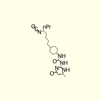 CCCC(CCCCC1CCC(NC(=O)Nc2nc(=O)cc(C)[nH]2)CC1)N=C=O